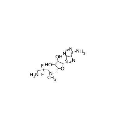 CN(C[C@H]1O[C@@H](n2cnc3c(N)ncnc32)C(O)C1O)CC(F)(F)CN